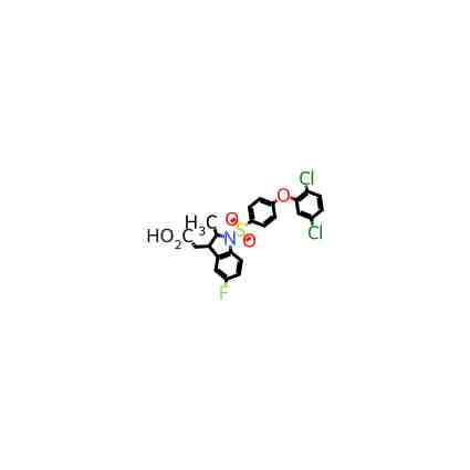 CC1C(CC(=O)O)c2cc(F)ccc2N1S(=O)(=O)c1ccc(Oc2cc(Cl)ccc2Cl)cc1